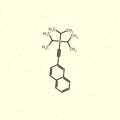 CC(C)[Si](C#Cc1ccc2ccccc2c1)(C(C)C)C(C)C